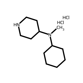 CN(C1CCCCC1)C1CCNCC1.Cl.Cl